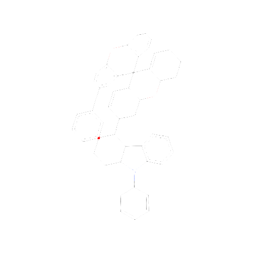 C1=CCC(N2c3ccccc3C3C(C4C=CC5C(C4)OC4CCCC=C4C54C5=C(CCC=C5)Oc5ccc(-c6ccccc6)cc54)CCCC32)C=C1